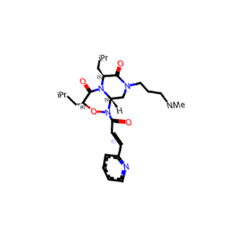 CNCCCN1C[C@@H]2N(C(=O)/C=C/c3ccccn3)O[C@H](CC(C)C)C(=O)N2[C@@H](CC(C)C)C1=O